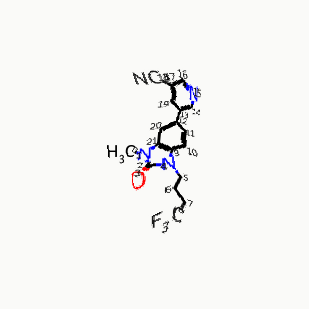 Cn1c(=O)n(CCCC(F)(F)F)c2ccc(-c3cncc(C#N)c3)cc21